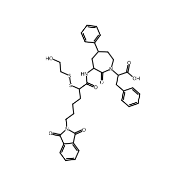 O=C(NC1CC(c2ccccc2)CCN(C(Cc2ccccc2)C(=O)O)C1=O)C(CCCCN1C(=O)c2ccccc2C1=O)SSCCO